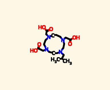 CC(C)CN1CCCN(CC(=O)O)CCN(CC(=O)O)CCCN(CC(=O)O)CC1